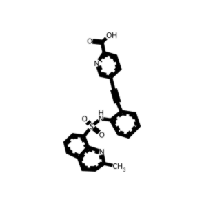 Cc1ccc2cccc(S(=O)(=O)Nc3ccccc3C#Cc3ccc(C(=O)O)nc3)c2n1